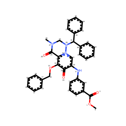 COC(=O)c1cccc(Nc2cn3c(c(OCc4ccccc4)c2=O)C(=O)N(C)CN3C(c2ccccc2)c2ccccc2)c1